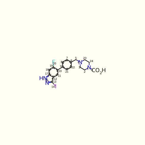 O=C(O)N1CCN(Cc2ccc(-c3cc4c(I)n[nH]c4cc3F)cc2)CC1